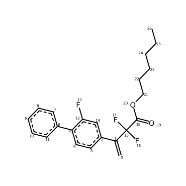 C=C(c1ccc(-c2ccccc2)c(F)c1)C(F)(F)C(=O)OCCCCCC